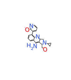 COc1ncccc1-c1cccc2c(N)c3c(nc12)CN(C1CC1)C3C=O